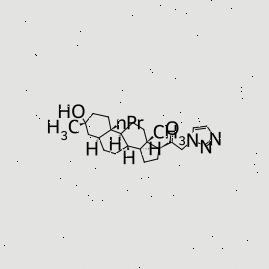 CCC[C@]12CC[C@@](C)(O)C[C@@H]1CC[C@H]1[C@@H]3CC[C@H](C(=O)Cn4ccnn4)[C@@]3(C)CC[C@@H]12